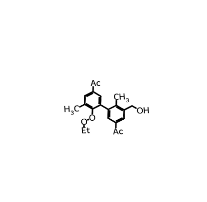 CCOOc1c(C)cc(C(C)=O)cc1-c1cc(C(C)=O)cc(CO)c1C